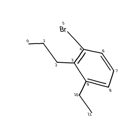 CCCc1c(Br)cccc1CC